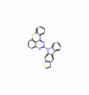 c1ccc2c(c1)Sc1cccc3nc(-n4c5ccccc5c5cc6ccsc6cc54)nc-2c13